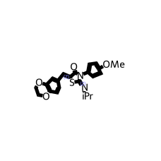 COc1ccc(N2C(=O)/C(=C/c3ccc4c(c3)OCCO4)S/C2=N\C(C)C)cc1